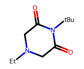 CCN1CC(=O)N(C(C)(C)C)C(=O)C1